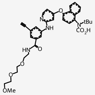 C#Cc1cc(Nc2cc(Oc3ccc(N(C(=O)O)C(C)(C)C)c4ccccc34)ccn2)cc(C(=O)NCCOCCOCCOC)c1